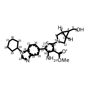 COC(=O)c1c(N2C[C@@H]3C(CO)[C@@H]3C2)sc(-c2ccc3c(c2)ncn3C2CCCCC2)c1N